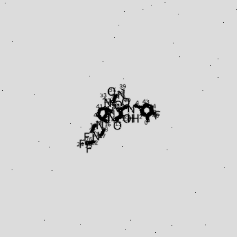 Cc1cc(CNC(=O)c2nc3n(c(=O)c2O)CC2(N4CCN(CC(F)(F)F)CC4)CCC3(N(C)C(=O)C(=O)N(C)C)CC2)ccc1F